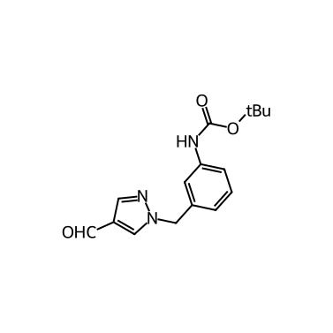 CC(C)(C)OC(=O)Nc1cccc(Cn2cc(C=O)cn2)c1